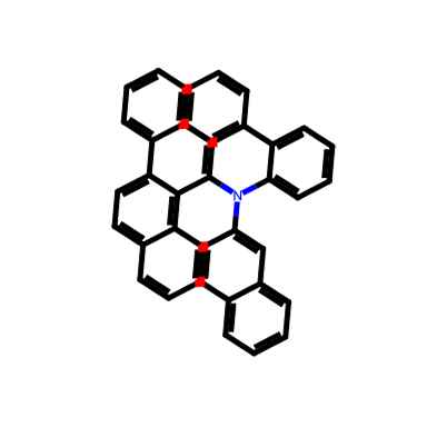 c1ccc(-c2ccccc2N(c2ccc3ccccc3c2)c2cc3ccccc3c3ccc4ccccc4c23)cc1